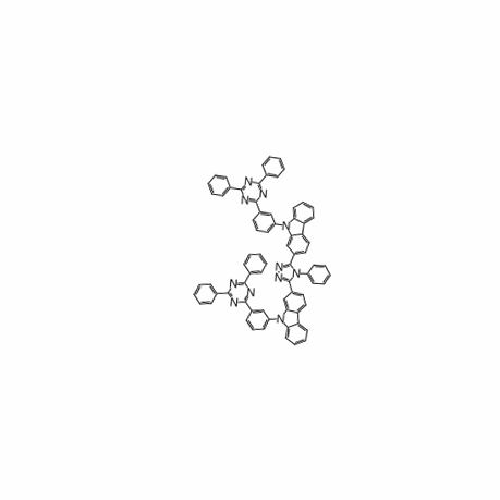 c1ccc(-c2nc(-c3ccccc3)nc(-c3cccc(-n4c5ccccc5c5ccc(-c6nnc(-c7ccc8c9ccccc9n(-c9cccc(-c%10nc(-c%11ccccc%11)nc(-c%11ccccc%11)n%10)c9)c8c7)n6-c6ccccc6)cc54)c3)n2)cc1